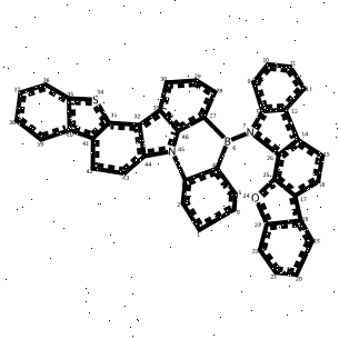 c1ccc2c(c1)B(n1c3ccccc3c3ccc4c5ccccc5oc4c31)c1cccc3c4c5sc6ccccc6c5ccc4n-2c13